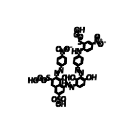 O=[N+]([O-])c1ccc(N=Nc2c(SOOO)cc3cc(S(=O)(=O)O)cc(N=Nc4ccc(O)c(N=Nc5ccc(Nc6ccc([N+](=O)[O-])cc6SOOO)cc5)c4O)c3c2O)cc1